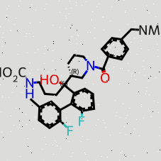 CNCc1ccc(C(=O)N2CCC[C@@H]([C@@](O)(CCCNC(=O)O)c3cccc(F)c3-c3cc(C)ccc3F)C2)cc1